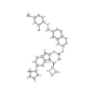 CCN(Cc1ccc2ccc(OCc3ccc(C#N)cc3F)nc2c1)Cc1nc2ccc(-c3nnn[nH]3)cc2n1C[C@@H]1CCO1